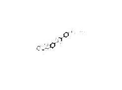 CCCCCCCOc1ccc(-c2cnc(-c3ccc(CC(N)C(=O)N4CCCC4C(=O)O)cc3)nc2)cc1